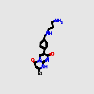 CCc1cc(=O)n2cc(-c3ccc(CNCCCN)cc3)c(=O)nc2[nH]1